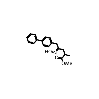 COC(=O)C(C)CC(Cc1ccc(-c2ccccc2)cc1)=NO